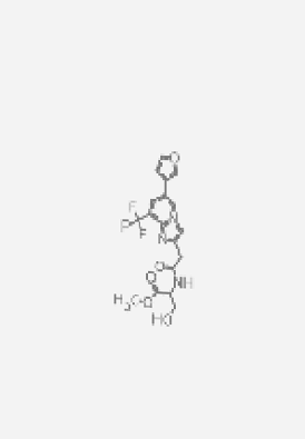 COC(=O)C(CO)NC(=O)Cc1cn2cc(-c3ccoc3)cc(C(F)(F)F)c2n1